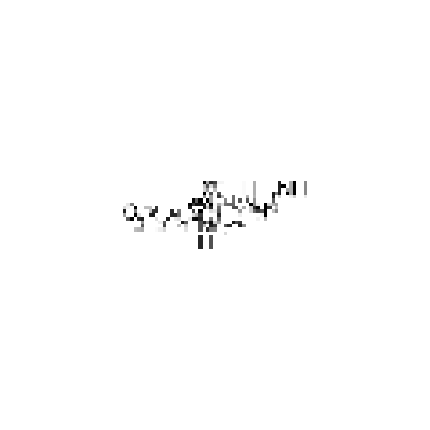 N=C/C=N\Nc1ccc(NCCCCCC=O)c([N+](=O)[O-])c1